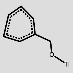 [Ti][O]Cc1ccccc1